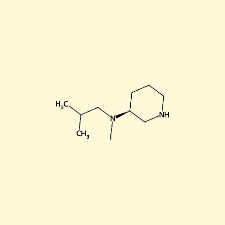 CC(C)CN(I)[C@H]1CCCNC1